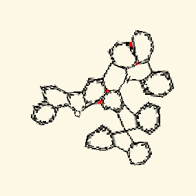 c1ccc(-c2ccccc2N(c2ccccc2-c2ccc3oc4c5ccccc5ccc4c3c2)c2cccc3c2-c2ccccc2C32c3ccccc3-c3ccccc32)cc1